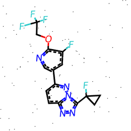 Fc1cc(-c2ccc3nnc(C4(F)CC4)n3n2)cnc1OCC(F)(F)F